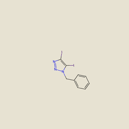 Ic1nnn(Cc2ccccc2)c1I